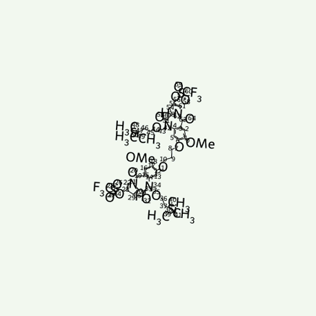 COc1cc2c(cc1OCCCOc1cc3c(cc1OC)C(=O)N1C=C(OS(=O)(=O)C(F)(F)F)C[C@H]1C(=O)N3COCC[Si](C)(C)C)N(COCC[Si](C)(C)C)C(=O)[C@@H]1CC(OS(=O)(=O)C(F)(F)F)=CN1C2=O